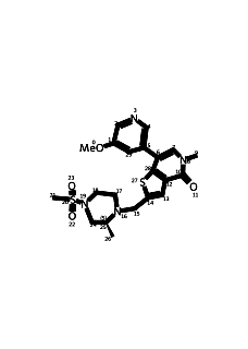 COc1cncc(-c2cn(C)c(=O)c3cc(CN4CCN(S(C)(=O)=O)C[C@@H]4C)sc23)c1